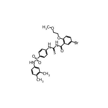 COCCOc1ccc(Br)cc1C(=O)NC(=S)Nc1ccc(S(=O)(=O)Nc2ccc(C)c(C)c2)cc1